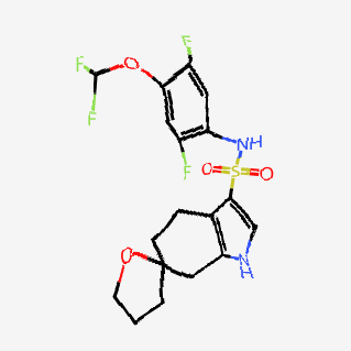 O=S(=O)(Nc1cc(F)c(OC(F)F)cc1F)c1c[nH]c2c1CCC1(CCCO1)C2